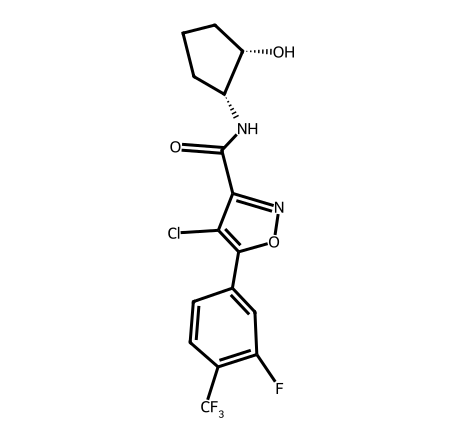 O=C(N[C@@H]1CCC[C@@H]1O)c1noc(-c2ccc(C(F)(F)F)c(F)c2)c1Cl